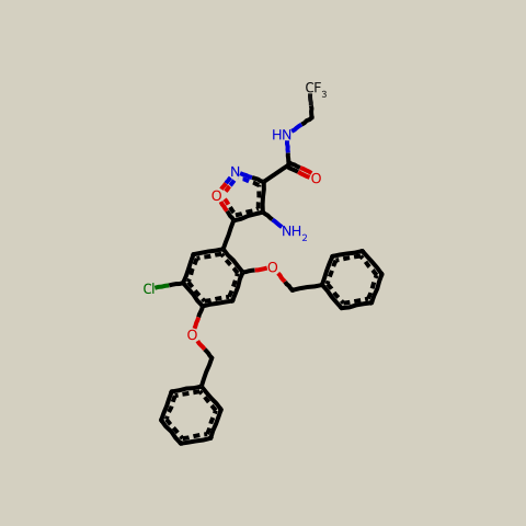 Nc1c(C(=O)NCC(F)(F)F)noc1-c1cc(Cl)c(OCc2ccccc2)cc1OCc1ccccc1